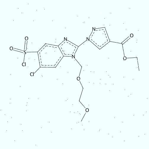 CCOC(=O)c1cnn(-c2nc3cc(S(=O)(=O)Cl)c(Cl)cc3n2COCCOC)c1